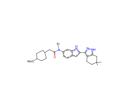 CCN(C(=O)CC1CCC(OC)CC1)c1ccc2cc(-c3n[nH]c4c3CCC(C)(C)C4)[nH]c2c1